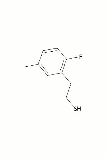 Cc1ccc(F)c(CCS)c1